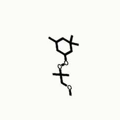 COCC(C)(C)OOC1CC(C)CC(C)(C)C1